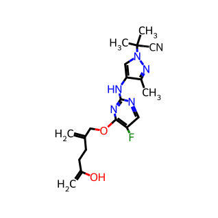 C=C(O)CCC(=C)COc1nc(Nc2cn(C(C)(C)C#N)nc2C)ncc1F